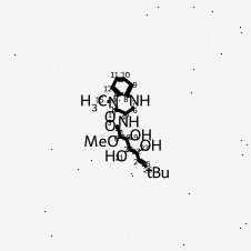 CO[C@@H](C(=O)N[C@H]1CNc2ccccc2N(C)C1=O)[C@H](O)[C@@H](O)[C@H](O)C=CC(C)(C)C